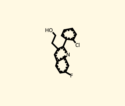 OCCc1cc2ccc(F)cc2nc1-c1ccccc1Cl